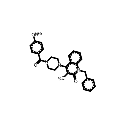 COc1ccc(C(=O)N2CCN(c3c(C#N)c(=O)n(Cc4ccccc4)c4ccccc34)CC2)cc1